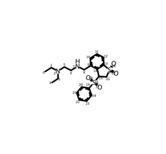 CCN(CC)CCNCc1cccc2c1C(S(=O)(=O)c1ccccc1)CS2(=O)=O